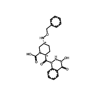 O=C1c2ccccc2N(C(=O)[C@@H]2CC[C@@H](NOCc3ccccc3)CN2C(=O)O)NN1O